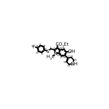 CCOC(=O)c1c(CSc2ccc(F)cc2)n(C)c2cc(C3=CCNCC3)c(O)cc12